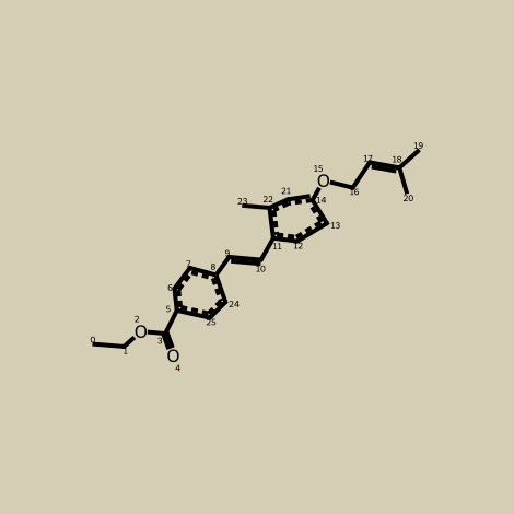 CCOC(=O)c1ccc(C=Cc2ccc(OCC=C(C)C)cc2C)cc1